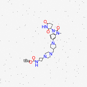 Cn1c(=O)n(C2CCC(=O)NC2=O)c2ccc(N3CCC(CN4CCN([C@H]5C[C@H](NC(=O)OC(C)(C)C)C5)CC4)CC3)cc21